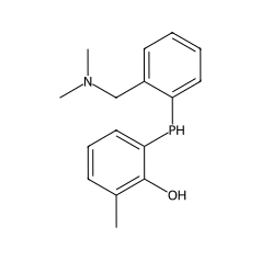 Cc1cccc(Pc2ccccc2CN(C)C)c1O